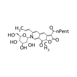 C/C=C/C1=CC2=CC3=C(C(=O)CCCCC)C(=O)O[C@@]3(C)C(=O)C2=CN1C1O[C@H](CO)[C@@H](O)[C@H](O)[C@H]1O